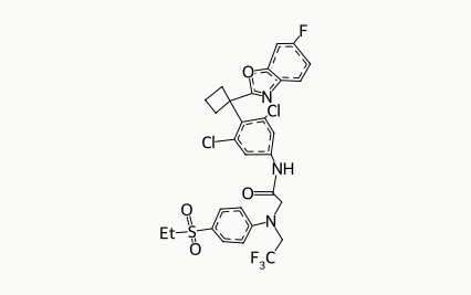 CCS(=O)(=O)c1ccc(N(CC(=O)Nc2cc(Cl)c(C3(c4nc5ccc(F)cc5o4)CCC3)c(Cl)c2)CC(F)(F)F)cc1